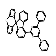 c1ccc(-c2cc(-c3ccccc3)nc(-c3cccc4c3-c3ccccc3C43c4ccccc4Oc4ccccc43)n2)cc1